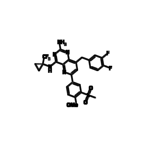 COc1ccc(-c2cc(Cc3ccc(F)c(F)c3)c3nc(N)nc(NC4(C(F)(F)F)CC4)c3n2)cc1S(C)(=O)=O